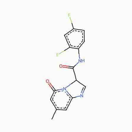 Cc1cc2n(c(=O)c1)C(C(=O)Nc1ccc(F)cc1F)C=N2